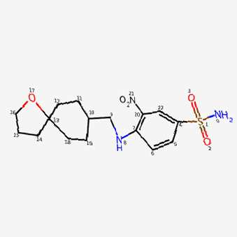 NS(=O)(=O)c1ccc(NCC2CCC3(CCCO3)CC2)c([N+](=O)[O-])c1